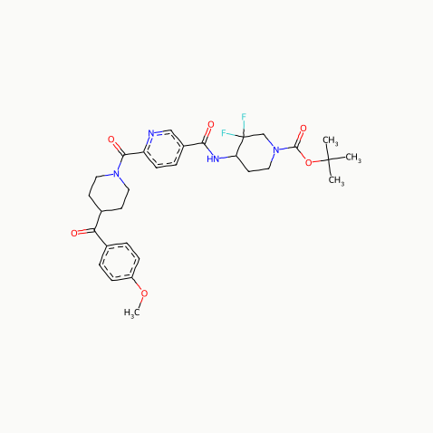 COc1ccc(C(=O)C2CCN(C(=O)c3ccc(C(=O)NC4CCN(C(=O)OC(C)(C)C)CC4(F)F)cn3)CC2)cc1